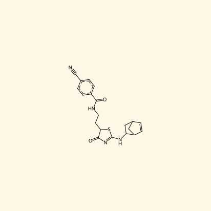 N#Cc1ccc(C(=O)NCCC2SC(NC3CC4C=CC3C4)=NC2=O)cc1